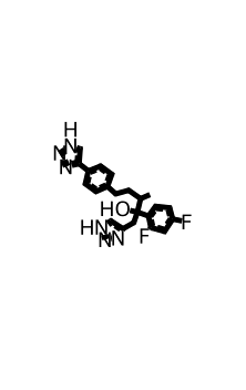 CC(CCc1ccc(-c2c[nH]nn2)cc1)C(O)(Cc1c[nH]nn1)c1ccc(F)cc1F